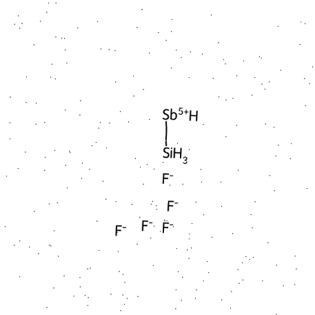 [F-].[F-].[F-].[F-].[F-].[SiH3][SbH+5]